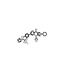 C[C@@H](Cn1cnnn1)Oc1cc(-c2cnc(Nc3cn(C4CCCCC4)nc3OC3COC3)nc2)ccc1Cl